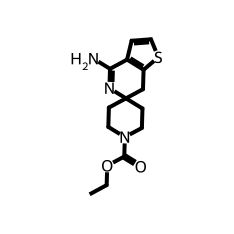 CCOC(=O)N1CCC2(CC1)Cc1sccc1C(N)=N2